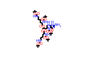 CC(OC(=O)C(CCCCNC(=O)OC(C)(C)C)NC(=O)OC(C)(C)C)C(OC(=O)C(CCCCNC(=O)OC(C)(C)C)NC(=O)OC(C)(C)C)C1CNc2[nH]c(N)nc(=O)c2N1C(=O)OC(C)(C)C